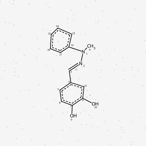 CN(/N=C/c1ccc(O)c(O)c1)c1ccccc1